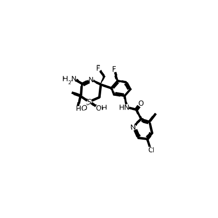 Cc1cc(Cl)cnc1C(=O)Nc1ccc(F)c([C@]2(CF)CS(O)(O)C(C)(C)C(N)=N2)c1